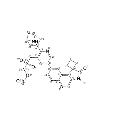 CN1C(=O)C2(CCC2)c2c1cnc1ccc(-c3cnc(N4CC5CC(C4)N5)c(CS(=O)(=O)NOC=O)c3)cc21